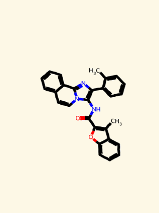 Cc1ccccc1-c1nc2c3ccccc3ccn2c1NC(=O)c1oc2ccccc2c1C